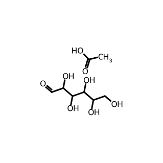 CC(=O)O.O=CC(O)C(O)C(O)C(O)CO